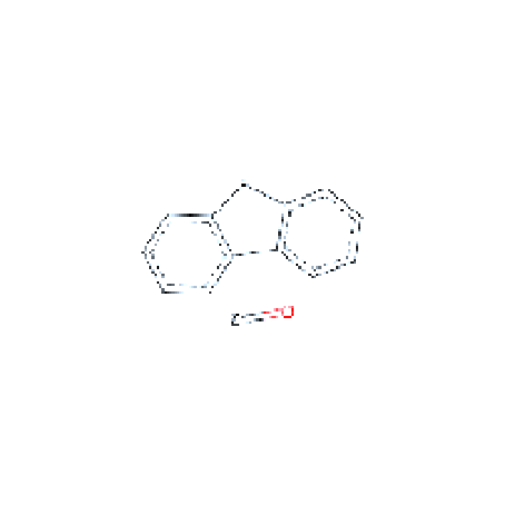 [CH]1c2ccccc2-c2ccccc21.[O]=[Zr]